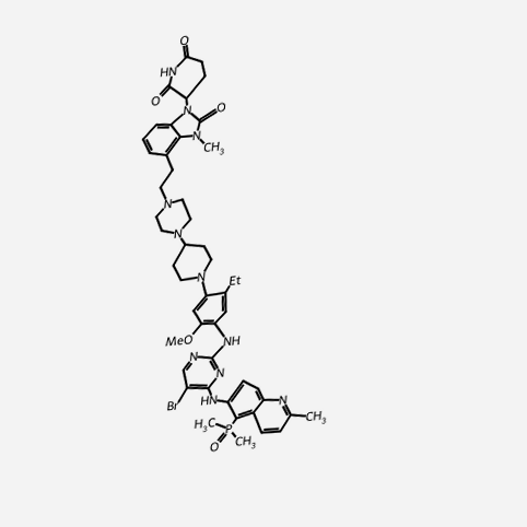 CCc1cc(Nc2ncc(Br)c(Nc3ccc4nc(C)ccc4c3P(C)(C)=O)n2)c(OC)cc1N1CCC(N2CCN(CCc3cccc4c3n(C)c(=O)n4C3CCC(=O)NC3=O)CC2)CC1